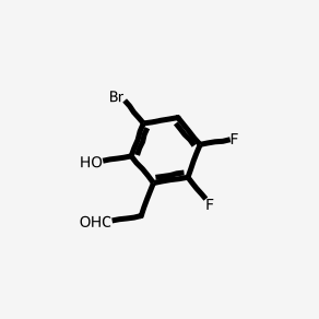 O=CCc1c(O)c(Br)cc(F)c1F